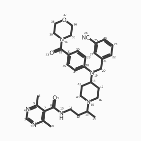 Cc1ncnc(C)c1C(=O)NCCC(C)N1CCC(N(Cc2cccc(C#N)c2)c2ccc(C(=O)N3CCOCC3)cc2)CC1